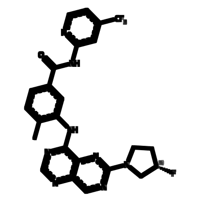 Cc1ccc(C(=O)Nc2cc(C(F)(F)F)ccn2)cc1Nc1ncnc2cnc(N3CC[C@H](F)C3)nc12